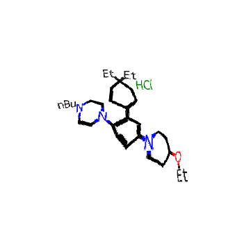 CCCCN1CCN(c2ccc(N3CCC(OCC)CC3)cc2C2CCC(CC)(CC)CC2)CC1.Cl